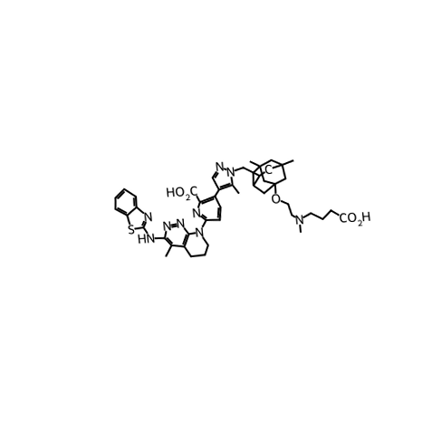 Cc1c(Nc2nc3ccccc3s2)nnc2c1CCCN2c1ccc(-c2cnn(CC3CC4(C)CC5(C)CC3CC(OCCN(C)CCCC(=O)O)(C4)C5)c2C)c(C(=O)O)n1